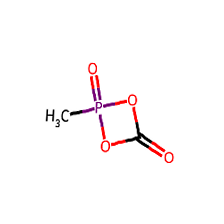 CP1(=O)OC(=O)O1